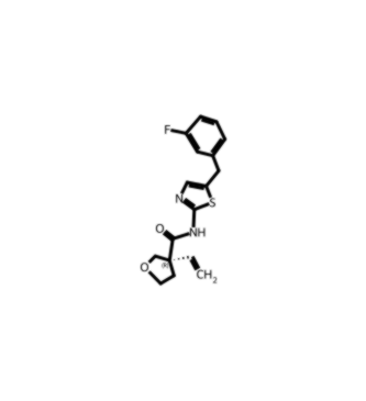 C=C[C@]1(C(=O)Nc2ncc(Cc3cccc(F)c3)s2)CCOC1